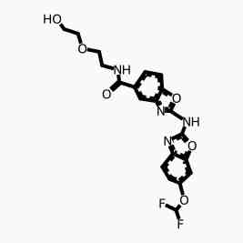 O=C(NCCOCCO)c1ccc2oc(Nc3nc4ccc(OC(F)F)cc4o3)nc2c1